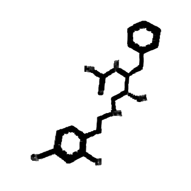 O=C(O)N[C@@H](Cc1ccccc1)[C@H](O)CNCCc1ccc(Cl)cc1Cl